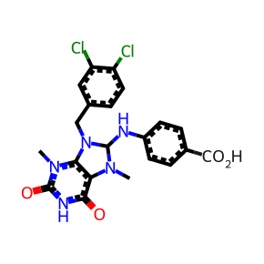 CN1c2c(n(C)c(=O)[nH]c2=O)N(Cc2ccc(Cl)c(Cl)c2)C1Nc1ccc(C(=O)O)cc1